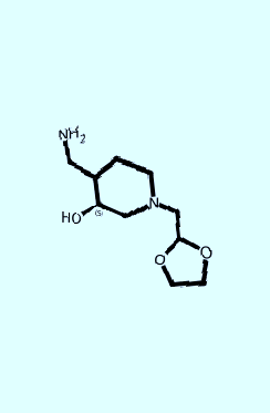 NCC1CCN(CC2OCCO2)C[C@H]1O